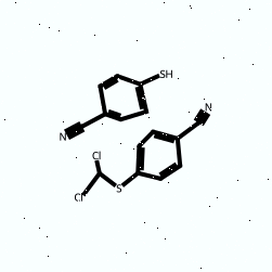 N#Cc1ccc(S)cc1.N#Cc1ccc(SC(Cl)Cl)cc1